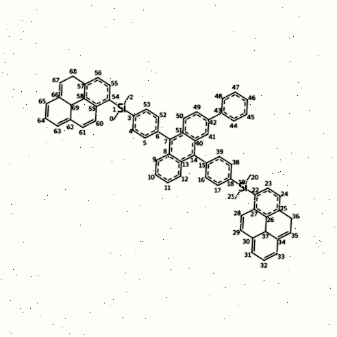 C[Si](C)(c1ccc(-c2c3ccccc3c(-c3ccc([Si](C)(C)c4ccc5c6c4C=CC4=CC=CC(=CC5)C46)cc3)c3cc(-c4ccccc4)ccc23)cc1)c1ccc2c3c1C=CC1=CC=CC(=CC2)C13